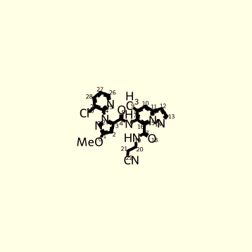 COc1cc(C(=O)Nc2c(C)cc3ccnn3c2C(=O)NCCC#N)n(-c2ncccc2Cl)n1